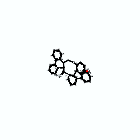 C=C1C2C(CCc3ccc(C)cc3-c3c(-c4ccccc4)ccc[n+]31)c1ccccc1-c1cccc[n+]12